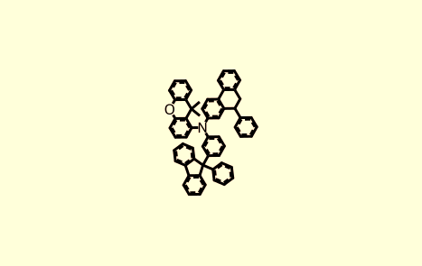 CC1(C)c2ccccc2Oc2cccc(N(c3cccc(C4(c5ccccc5)c5ccccc5-c5ccccc54)c3)c3ccc4c(c3)C(c3ccccc3)Cc3ccccc3-4)c21